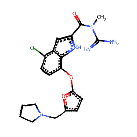 CN(C(=N)N)C(=O)c1cc2c(Cl)ccc(Oc3ccc(CN4CCCC4)o3)c2[nH]1